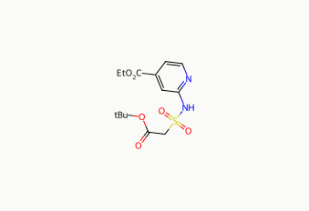 CCOC(=O)c1ccnc(NS(=O)(=O)CC(=O)OC(C)(C)C)c1